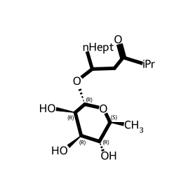 CCCCCCCC(CC(=O)C(C)C)O[C@@H]1O[C@@H](C)[C@H](O)[C@@H](O)[C@H]1O